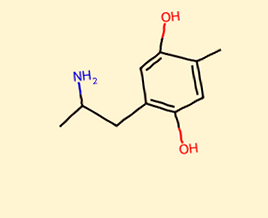 Cc1cc(O)c(CC(C)N)cc1O